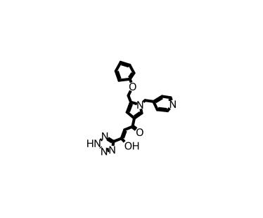 O=C(C=C(O)c1nn[nH]n1)c1cc(COc2ccccc2)n(Cc2ccncc2)c1